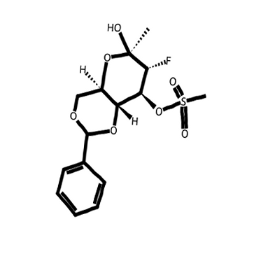 C[C@@]1(O)O[C@@H]2COC(c3ccccc3)O[C@H]2[C@H](OS(C)(=O)=O)[C@H]1F